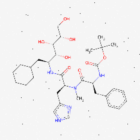 CN(C(=O)[C@H](Cc1ccccc1)NC(=O)OC(C)(C)C)[C@@H](Cc1c[nH]cn1)C(=O)N[C@@H](CC1CCCCC1)[C@@H](O)[C@H](O)[C@@H](O)CO